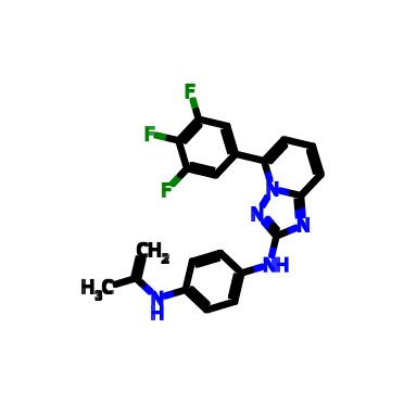 C=C(C)Nc1ccc(Nc2nc3cccc(-c4cc(F)c(F)c(F)c4)n3n2)cc1